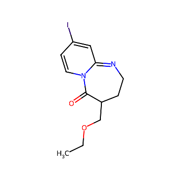 CCOCC1CCN=C2C=C(I)C=CN2C1=O